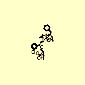 CNC[C@H](CC1CCCCC1)NC(=O)N(CC[C@@H](OCCN(C)C(=O)O)c1cccc(Cl)c1)C(C)C